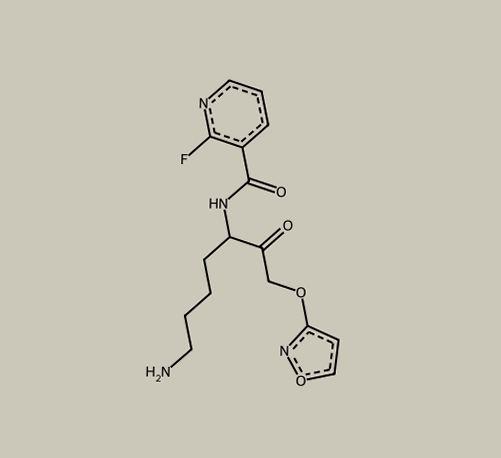 NCCCCC(NC(=O)c1cccnc1F)C(=O)COc1ccon1